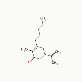 C=C(C)C1CC(=O)C(C)=C(CCCCC)C1